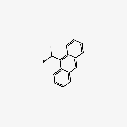 FC(F)c1c2ccccc2cc2ccccc12